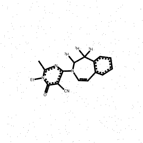 [3H]C1N(c2nc(C)n(CC)c(=O)c2C#N)C=Cc2ccccc2C1([3H])[3H]